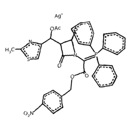 CC(=O)OC(c1csc(C)n1)C1C(=O)N(C(C(=O)OCc2ccc([N+](=O)[O-])cc2)=P(c2ccccc2)(c2ccccc2)c2ccccc2)C1[S-].[Ag+]